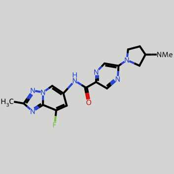 CNC1CCN(c2cnc(C(=O)Nc3cc(F)c4nc(C)nn4c3)cn2)C1